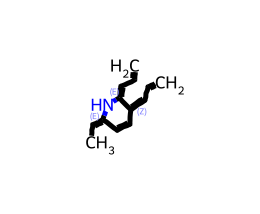 C=C/C=C1C=C/C(=C\C)NC/1=C/C=C